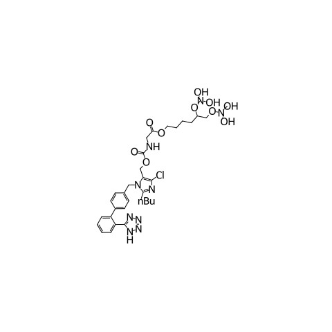 CCCCc1nc(Cl)c(COC(=O)NCC(=O)OCCCCC(CON(O)O)ON(O)O)n1Cc1ccc(-c2ccccc2-c2nnn[nH]2)cc1